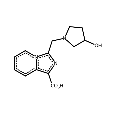 O=C(O)c1nc(CN2CCC(O)C2)n2ccccc12